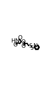 O=C1CC(OC(=O)CCSSc2ccccn2)C(=O)N1